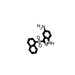 Nc1ccc2[nH]nc(S(=O)(=O)c3cccc4ccccc34)c2c1